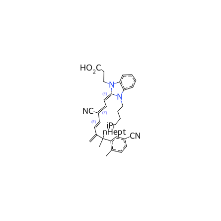 C=C(/C=C/C(C#N)=C/C=C1\N(CCCC(C)C)c2ccccc2N1CCC(=O)O)C(C)(CCCCCCC)c1cc(C#N)ccc1C